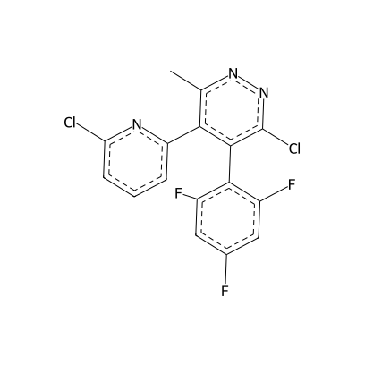 Cc1nnc(Cl)c(-c2c(F)cc(F)cc2F)c1-c1cccc(Cl)n1